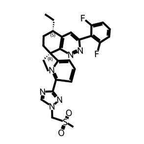 CC[C@H]1CC[C@](CC)(c2cccc(-c3ncn(CS(C)(=O)=O)n3)n2)c2nnc(-c3c(F)cccc3F)cc21